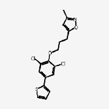 Cc1cc(CCCOc2c(Cl)cc(-c3cccs3)cc2Cl)on1